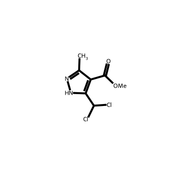 COC(=O)c1c(C)n[nH]c1C(Cl)Cl